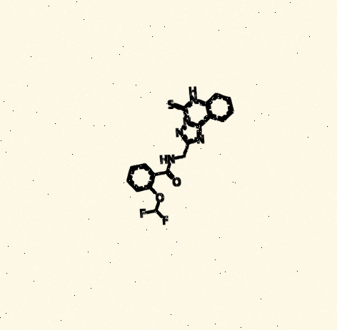 O=C(NCc1nc2c3ccccc3[nH]c(=S)n2n1)c1ccccc1OC(F)F